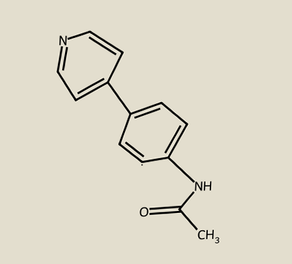 CC(=O)Nc1[c]cc(-c2ccncc2)cc1